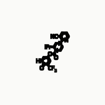 CC(C)C1CN(c2ncccc2C#N)CCN1C(=O)Oc1c[nH]c(=O)c(C(F)(F)F)c1